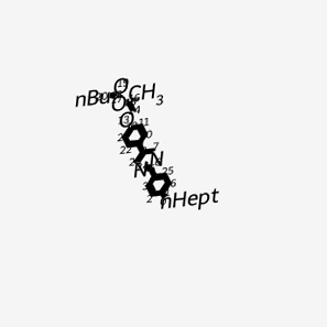 CCCCCCCc1ccc(-c2ncc(-c3ccc(OCC(C)OC(=O)CCCC)cc3)cn2)cc1